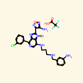 CCn1c(-c2nonc2N)nc2c(-c3cccc(Cl)c3)ncc(NCCCNCc3cccc(N)c3)c21.O=C(O)C(F)(F)F